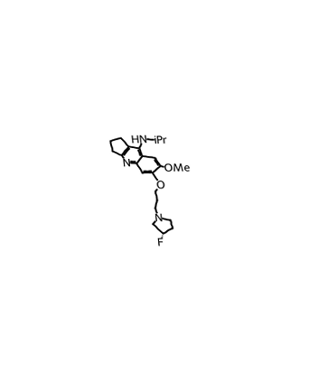 COc1cc2c(NC(C)C)c3c(nc2cc1OCCCN1CC[C@H](F)C1)CCC3